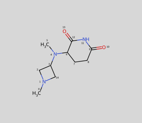 CN1CC(N(C)C2CCC(=O)NC2=O)C1